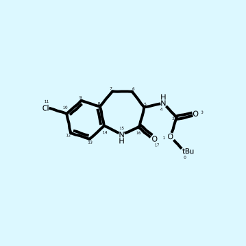 CC(C)(C)OC(=O)NC1CCc2cc(Cl)ccc2NC1=O